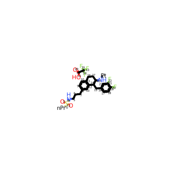 CCCS(=O)(=O)NCCCc1ccc2c(c1)C(Cc1ccc(F)c(F)c1)C(NCC)CC2.O=C(O)C(F)(F)F